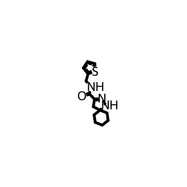 O=C(NCc1cccs1)C1=NNC2(CCCCC2)C1